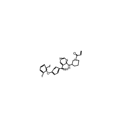 C=CC(=O)N1CCCC(Nc2ncncc2C(=N)c2ccc(Oc3c(F)cccc3F)cc2)C1